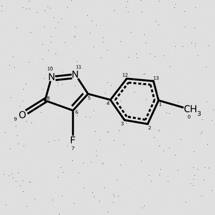 Cc1ccc(C2=C(F)C(=O)N=N2)cc1